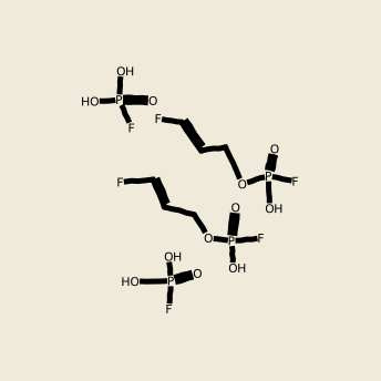 O=P(O)(F)OCC=CF.O=P(O)(F)OCC=CF.O=P(O)(O)F.O=P(O)(O)F